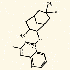 CC1CC2CC(CC(C)(O)C2)C1Nc1nc(Cl)cc2ncccc12